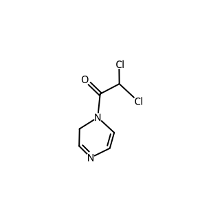 O=C(C(Cl)Cl)N1C=CN=CC1